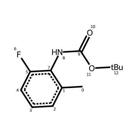 Cc1cccc(F)c1NC(=O)OC(C)(C)C